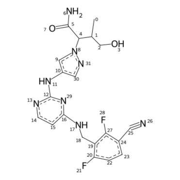 CC(CO)C(C(N)=O)n1cc(Nc2nccc(NCc3c(F)ccc(C#N)c3F)n2)cn1